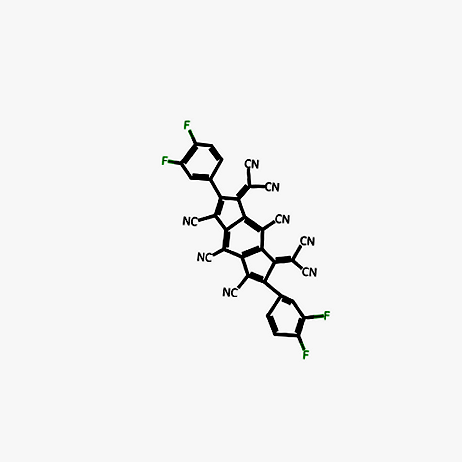 N#CC(C#N)=C1C(c2ccc(F)c(F)c2)=C(C#N)c2c(C#N)c3c(c(C#N)c21)C(=C(C#N)C#N)C(c1ccc(F)c(F)c1)=C3C#N